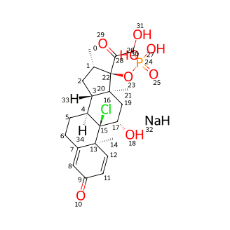 C[C@H]1C[C@H]2[C@@H]3CCC4=CC(=O)C=C[C@]4(C)[C@@]3(Cl)[C@@H](O)C[C@]2(C)[C@@]1(OP(=O)(O)O)C(=O)CO.[NaH]